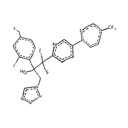 OC(Cn1cnnn1)(c1ccc(F)cc1F)C(F)(F)c1ccc(-c2ccc(C(F)(F)F)cn2)cn1